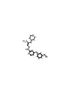 CC(=CCNc1nccc(Sc2cccc(CBr)c2)n1)CN1CCOCC1